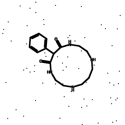 O=C1NCCNCCCNCCNC(=O)C1c1ccccc1